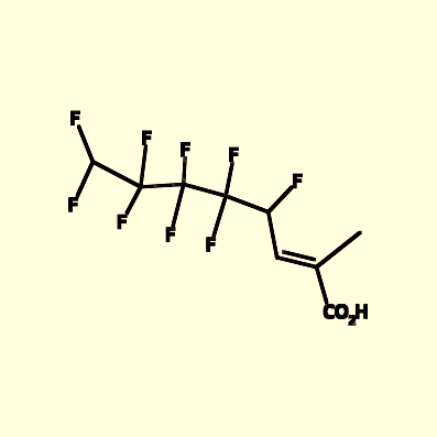 CC(=CC(F)C(F)(F)C(F)(F)C(F)(F)C(F)F)C(=O)O